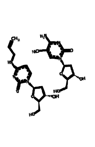 C=CCNc1ccn([C@H]2C[C@H](O)[C@@H](CO)O2)c(=O)n1.Nc1nc(=O)n([C@H]2C[C@H](O)[C@@H](CO)O2)cc1O